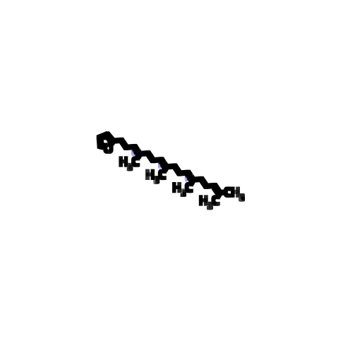 CC(C)=CCC/C(C)=C/CC/C(C)=C/CC/C(C)=C/CCc1ccco1